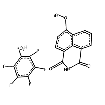 CC(C)Oc1ccc2c3c(cccc13)C(=O)NC2=O.O=S(=O)(O)c1c(F)c(F)c(F)c(F)c1F